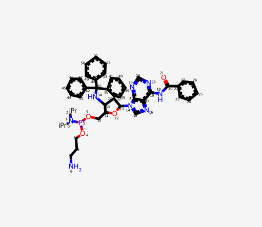 CC(C)N(C(C)C)P(OCCCN)OCC1OC(n2cnc3c(NC(=O)c4ccccc4)ncnc32)CC1NC(c1ccccc1)(c1ccccc1)c1ccccc1